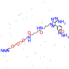 [N-]=[N+]=NCCOCCOCCOCCNC(=O)CCCCC(=O)NCCCCn1nc(-c2ccc3oc(N)nc3c2)c2c(N)ncnc21